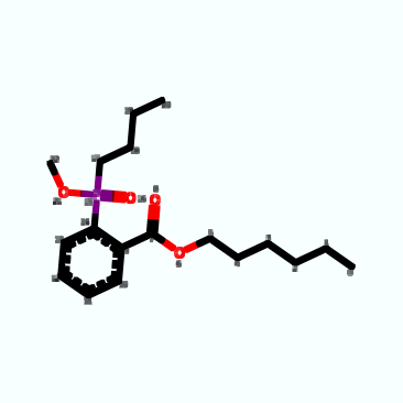 CCCCCCOC(=O)c1ccccc1P(=O)(CCCC)OC